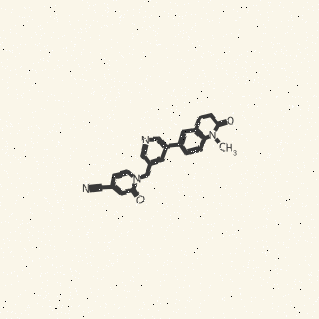 CN1C(=O)CCc2cc(-c3cncc(Cn4ccc(C#N)cc4=O)c3)ccc21